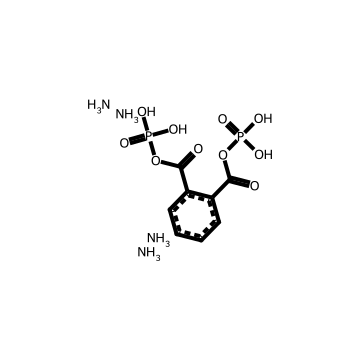 N.N.N.N.O=C(OP(=O)(O)O)c1ccccc1C(=O)OP(=O)(O)O